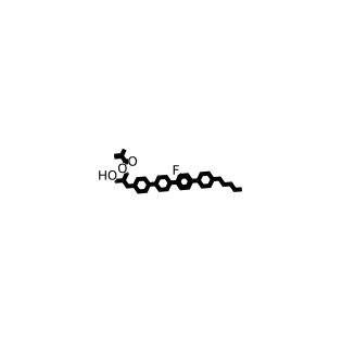 C=C(C)C(=O)OCC(CO)CC1CCC(C2CCC(c3ccc(C4CCC(CCCCC)CC4)cc3F)CC2)CC1